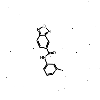 Cc1cccc(NC(=O)c2ccc3nonc3c2)c1